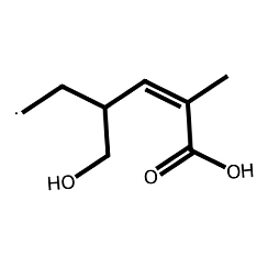 [CH2]CC(C=C(C)C(=O)O)CO